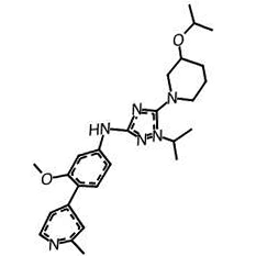 COc1cc(Nc2nc(N3CCCC(OC(C)C)C3)n(C(C)C)n2)ccc1-c1ccnc(C)c1